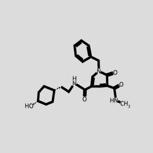 CNC(=O)c1cc(C(=O)NCC[C@H]2CC[C@@H](O)CC2)cn(Cc2ccccc2)c1=O